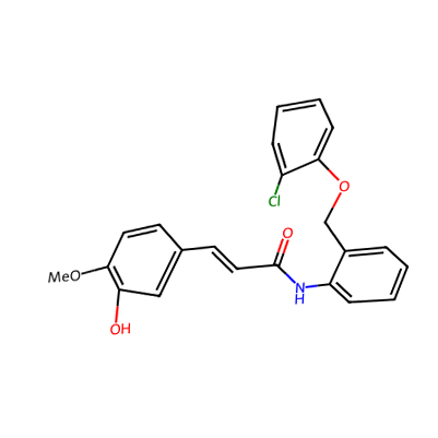 COc1ccc(C=CC(=O)Nc2ccccc2COc2ccccc2Cl)cc1O